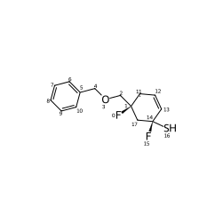 F[C@@]1(COCc2ccccc2)[CH]C=C[C@](F)(S)C1